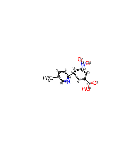 Cc1ccc(-c2cc(C(=O)O)cc([N+](=O)[O-])c2)nc1